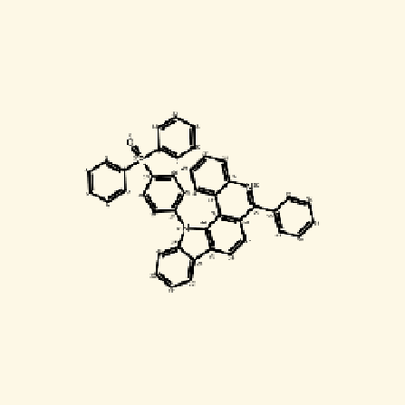 O=P(c1ccccc1)(c1ccccc1)c1ccc(-n2c3ccccc3c3ccc4c(-c5ccccc5)nc5ccccc5c4c32)cc1